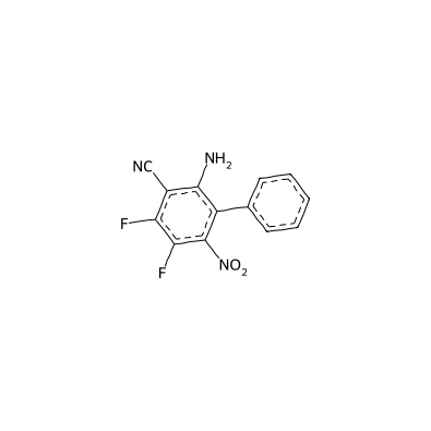 N#Cc1c(N)c(-c2ccccc2)c([N+](=O)[O-])c(F)c1F